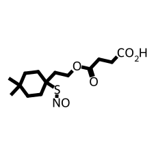 CC1(C)CCC(CCOC(=O)CCC(=O)O)(SN=O)CC1